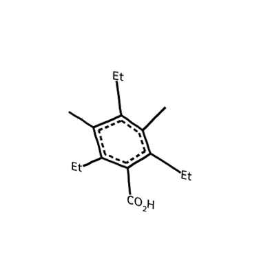 CCc1c(C)c(CC)c(C(=O)O)c(CC)c1C